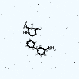 C/N=C1\NC(=O)C[C@@H](c2cccc(-c3cccc(N)c3)c2)N1